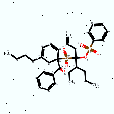 C=CCC(OS(=O)(=O)c1ccccc1)(C(CC)CCC)S(=O)(=O)C1(C(=O)c2ccccc2)C=CC=C(CCCC)C1